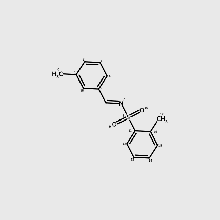 Cc1cccc(/C=N/S(=O)(=O)c2ccccc2C)c1